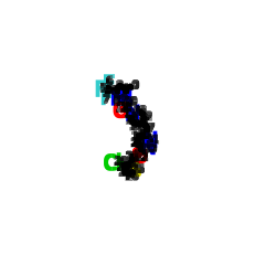 Cc1cc(C(F)(F)F)nn1CC(=O)N1CCC(Cc2ccc(OCc3sccc3Cl)nn2)CC1